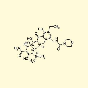 CCc1cc(CNC(=O)N2CCOCC2)c2c(c1O)C(=O)C1=C(O)[C@]3(O)C(=O)C(C(N)=O)=C(O)C(N(C)C)[C@@H]3C[C@@H]1C2